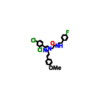 COc1ccc(/C=C/c2nc(-c3ccc(Cl)cc3Cl)cn2CC(=O)NCCc2ccc(F)cc2)cc1